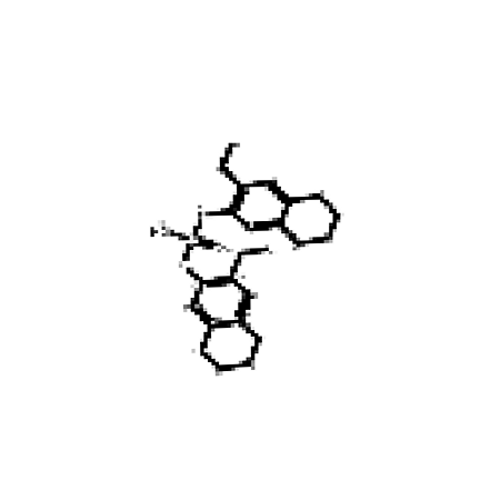 CCc1cc2c(cc1OP(=O)(O)Oc1cc3c(cc1CC)CCCC3)CCCC2